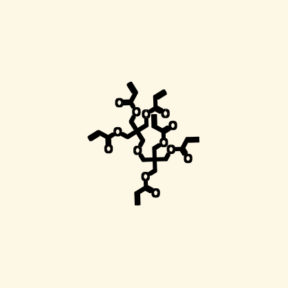 C=CC(=O)OCC(COCC(COC(=O)C=C)(COC(=O)C=C)COC(=O)C=C)(COC(=O)C=C)COC(=O)C=C